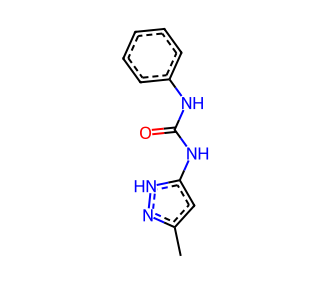 Cc1cc(NC(=O)Nc2ccccc2)[nH]n1